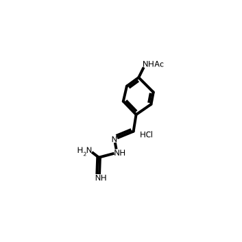 CC(=O)Nc1ccc(C=NNC(=N)N)cc1.Cl